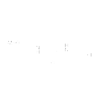 COCNCC(=O)NCC(F)(F)F